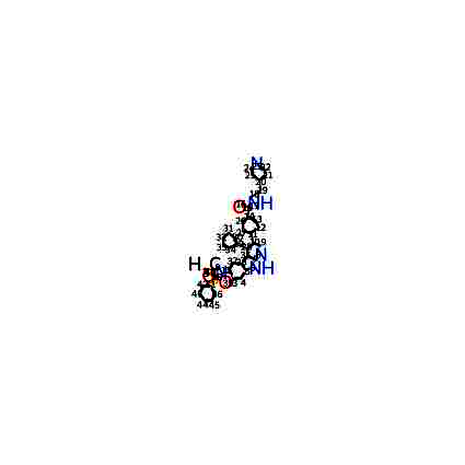 CN(c1ccc2[nH]c3ncc(-c4ccc(C(=O)NCCc5ccncc5)cc4)c(-c4ccccc4)c3c2c1)S(=O)(=O)c1ccccc1